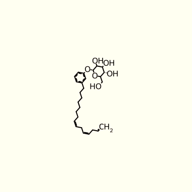 C=CC/C=C\C/C=C\CCCCCCCc1cccc(O[C@@H]2OC(CO)[C@@H](O)C(O)C2O)c1